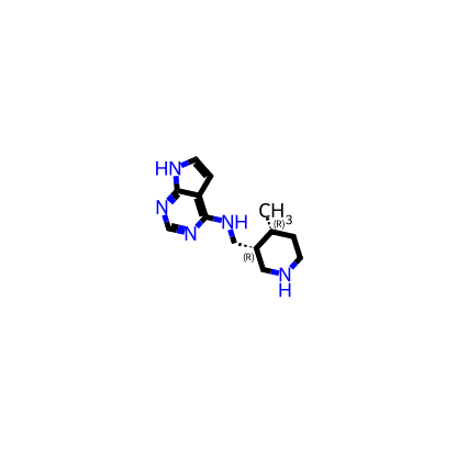 C[C@@H]1CCNC[C@@H]1CNc1ncnc2[nH]ccc12